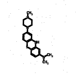 CN1CCN(c2ccc3c(c2)Nc2cc(N(C)C)ccc2S3)CC1